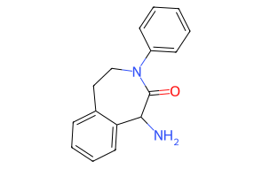 NC1C(=O)N(c2ccccc2)CCc2ccccc21